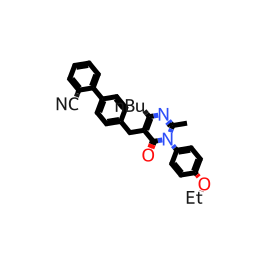 CCCCc1nc(C)n(-c2ccc(OCC)cc2)c(=O)c1Cc1ccc(-c2ccccc2C#N)cc1